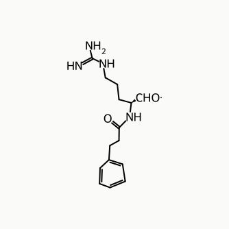 N=C(N)NCCC[C@@H]([C]=O)NC(=O)CCc1ccccc1